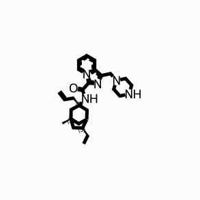 C=CC[C@@]1(NC(=O)c2nc(CN3CCNCC3)c3ccccn23)CC2C[C@](C)(C[C@@H]2CC)C1